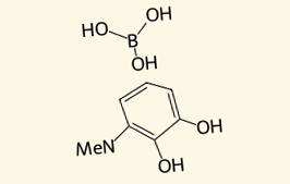 CNc1cccc(O)c1O.OB(O)O